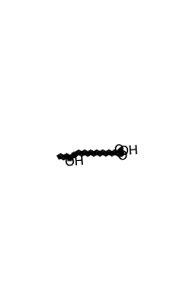 CCCCC(O)C#CCCCCCCCCCCCCCCS(=O)(=O)O